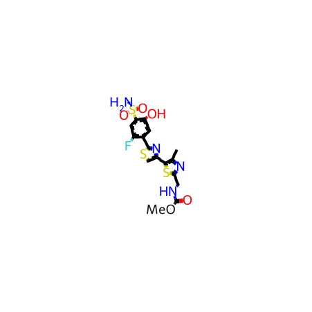 COC(=O)NCc1nc(C)c(-c2csc(-c3cc(O)c(S(N)(=O)=O)cc3F)n2)s1